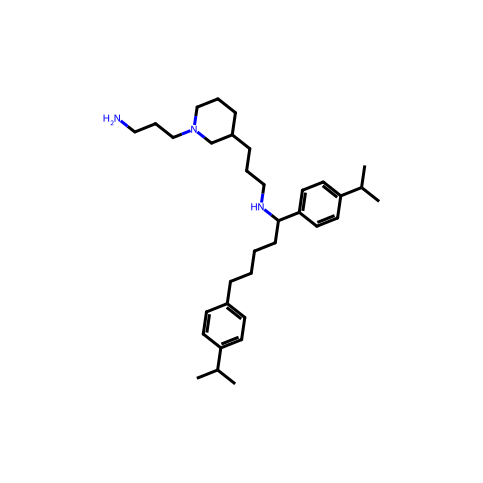 CC(C)c1ccc(CCCCC(NCCCC2CCCN(CCCN)C2)c2ccc(C(C)C)cc2)cc1